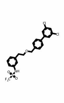 O=S(=O)(Nc1cccc(CCOCc2ccc(-c3cc(Cl)cc(Cl)c3)cc2)c1)C(F)(F)F